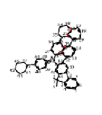 CC1(C)c2ccccc2-c2cc(-c3ccc(-c4ccccc4)cc3)c(N(c3ccc(C4CCCCC4)cc3)c3ccc(C4CCCCC4)cc3)cc21